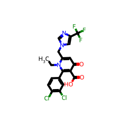 CCn1c(Cn2cnc(C(F)(F)F)c2)cc(=O)c(C(=O)O)c1-c1ccc(Cl)c(Cl)c1